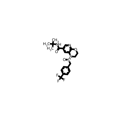 CC(C)(C)NC(=O)c1cnc2c(c1)N([S+]([O-])Cc1ccc(C(F)(F)F)cc1)CCO2